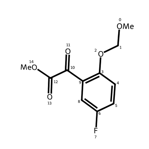 COCOc1ccc(F)cc1C(=O)C(=O)OC